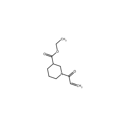 C=CC(=O)N1CCCC(C(=O)OCC)C1